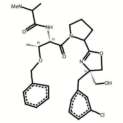 CNC(C)C(=O)N[C@H](C(=O)N1CCCC1C1=N[C@](CO)(Cc2cccc(Cl)c2)CO1)[C@@H](C)OCc1ccccc1